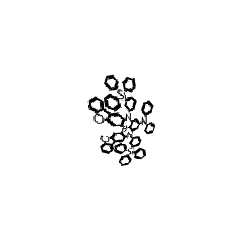 c1ccc(N(c2ccccc2)c2cc3c4c(c2)N(c2cccc([Si](c5ccccc5)(c5ccccc5)c5ccccc5)c2)c2cc5c(cc2B4c2cc4oc6ccccc6c4cc2N3c2cccc([Si](c3ccccc3)(c3ccccc3)c3ccccc3)c2)oc2ccccc25)cc1